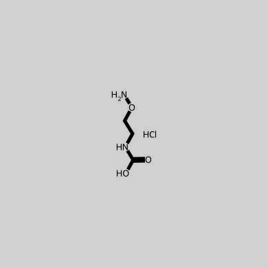 Cl.NOCCNC(=O)O